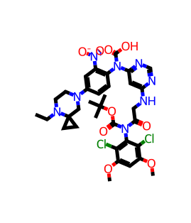 CCN1CCN(c2ccc(N(C(=O)O)c3cc(NCC(=O)N(C(=O)OC(C)(C)C)c4c(Cl)c(OC)cc(OC)c4Cl)ncn3)c([N+](=O)[O-])c2)CC12CC2